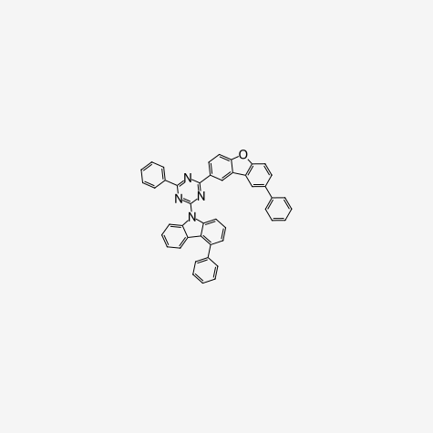 c1ccc(-c2ccc3oc4ccc(-c5nc(-c6ccccc6)nc(-n6c7ccccc7c7c(-c8ccccc8)cccc76)n5)cc4c3c2)cc1